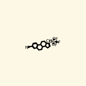 C[C@]12CCC3c4ccc(C#N)cc4CCC3C1CC=C2OS(=O)(=O)C(F)(F)F